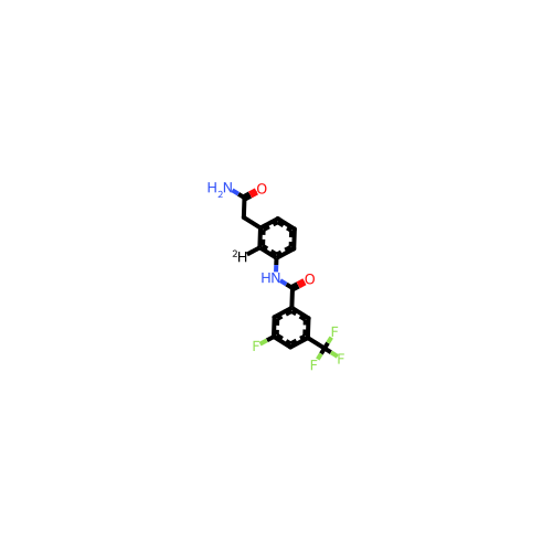 [2H]c1c(CC(N)=O)cccc1NC(=O)c1cc(F)cc(C(F)(F)F)c1